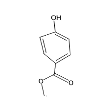 [CH2]OC(=O)c1ccc(O)cc1